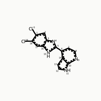 Clc1cc2nc(-c3ccnc4[nH]ccc34)[nH]c2cc1Cl